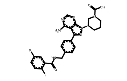 Nc1ncnc2c1c(-c1ccc(CNC(=O)c3cc(F)ccc3F)cc1)nn2[C@@H]1CCCN(C(=O)O)C1